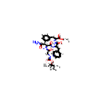 COC(=O)C(Cc1ccccc1)NC(=O)C(Cc1ccccc1)NC(=O)C(CC(N)=O)NC(=O)CNC(=O)OC(C)(C)C